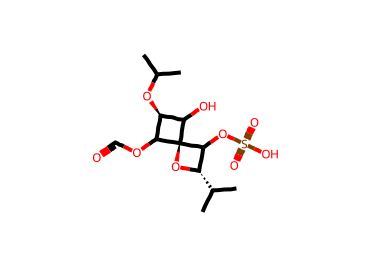 CC(C)O[C@H]1C(O)[C@@]2(O[C@@H](C(C)C)C2OS(=O)(=O)O)C1OC=O